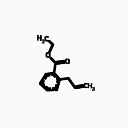 C=CCc1ccccc1C(=O)OCC